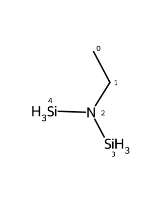 CCN([SiH3])[SiH3]